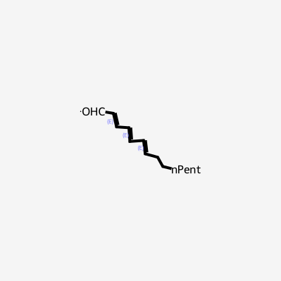 CCCCCCC/C=C/C=C/C=C/[C]=O